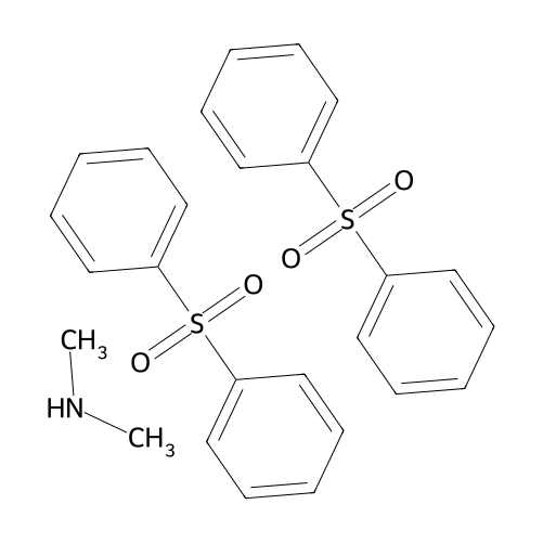 CNC.O=S(=O)(c1ccccc1)c1ccccc1.O=S(=O)(c1ccccc1)c1ccccc1